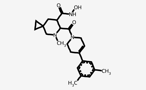 Cc1cc(C)cc(C2=CCN(C(=O)C3C(C(=O)NO)CC4(CC4)CN3C)CC2)c1